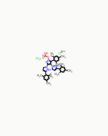 Cc1cc(C)c(C2=CCN(c3nn(OB(O)O)c(-c4c(C)cc(C)cc4C)c3N3CC=C(c4c(C)cc(C)cc4C)N3)N2)c(C)c1.[Cl-].[Cl-].[Cl-].[Zr+3]